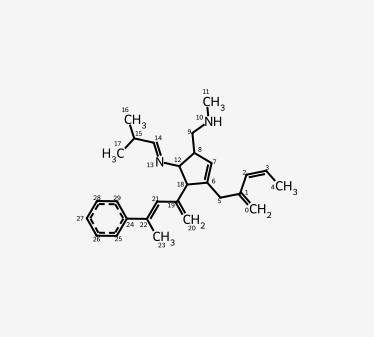 C=C(/C=C\C)CC1=CC(CNC)C(/N=C/C(C)C)C1C(=C)/C=C(\C)c1ccccc1